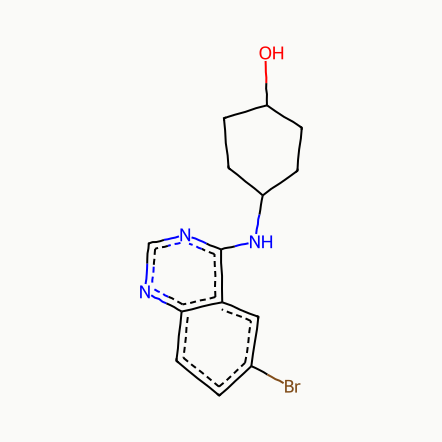 OC1CCC(Nc2ncnc3ccc(Br)cc23)CC1